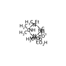 C=Cc1c(C)c2cc3nc(c4c5[nH]c(cc6nc(cc1[nH]2)C(C)=C6CC)c(C)c5C(=O)[C@@H]4C(=O)OC)[C@@H](CCC(=O)O)[C@@H]3C